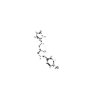 Clc1ccc([C@H]2CCC(CCc3nccs3)C2)cc1